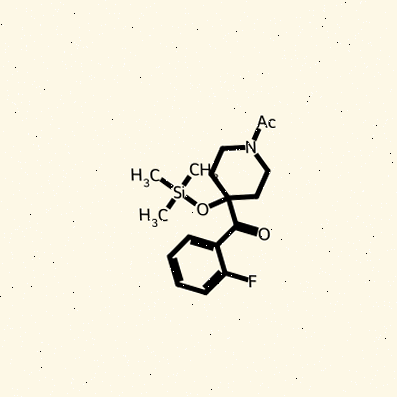 CC(=O)N1CCC(O[Si](C)(C)C)(C(=O)c2ccccc2F)CC1